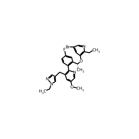 CCc1ncc(Br)cc1O[C@H](C)c1cc(F)ccc1-c1ncc(OC)cc1Cc1cnn(CC)c1